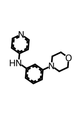 c1cc(Nc2ccncc2)cc(N2CCOCC2)c1